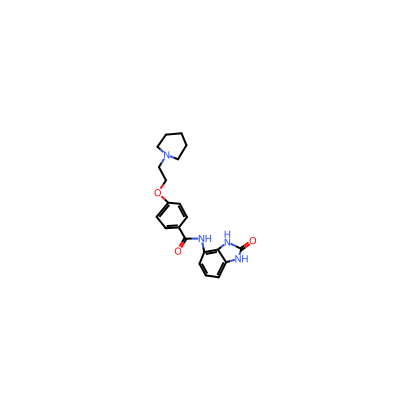 O=C(Nc1cccc2[nH]c(=O)[nH]c12)c1ccc(OCCN2CCCCC2)cc1